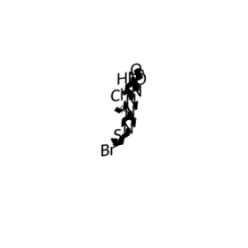 CC[C@H]1CN(c2ncc(NS(C)(=O)=O)cc2Cl)CCN1C1CCN(Cc2cc(Br)cs2)CC1